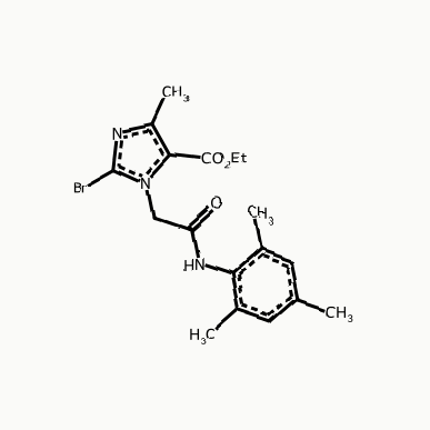 CCOC(=O)c1c(C)nc(Br)n1CC(=O)Nc1c(C)cc(C)cc1C